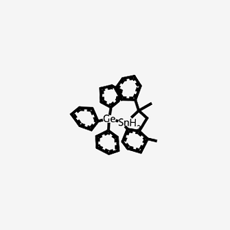 Cc1ccc[c]([SnH2][Ge]([c]2ccccc2)([c]2ccccc2)[c]2ccccc2)c1CC(C)(C)c1ccccc1